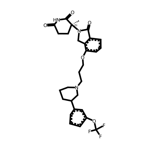 C[C@]1(N2Cc3c(OCCCN4CCCC(c5cccc(OC(F)(F)F)c5)C4)cccc3C2=O)CCC(=O)NC1=O